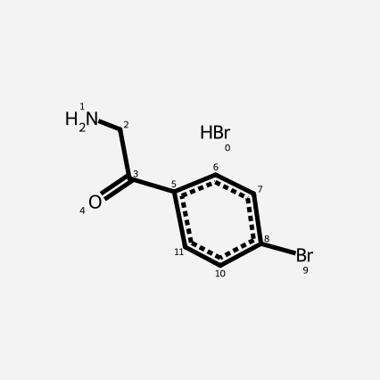 Br.NCC(=O)c1ccc(Br)cc1